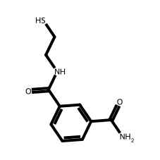 NC(=O)c1cccc(C(=O)NCCS)c1